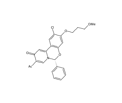 COCCCOc1cc2c(cc1Cl)-c1cc(=O)c(C(C)=O)cn1[C@@H](c1ccccc1)O2